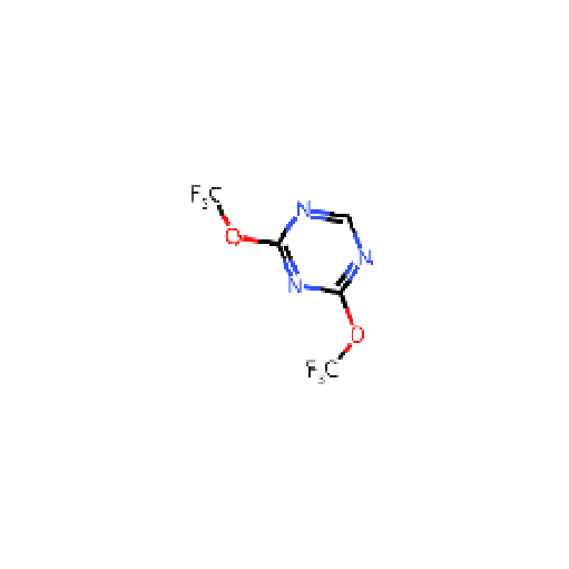 FC(F)(F)Oc1ncnc(OC(F)(F)F)n1